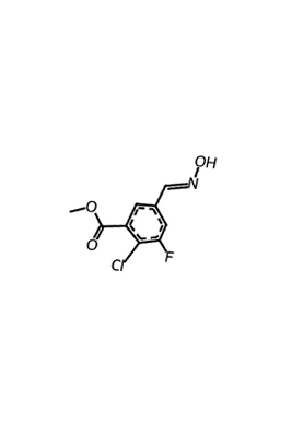 COC(=O)c1cc(C=NO)cc(F)c1Cl